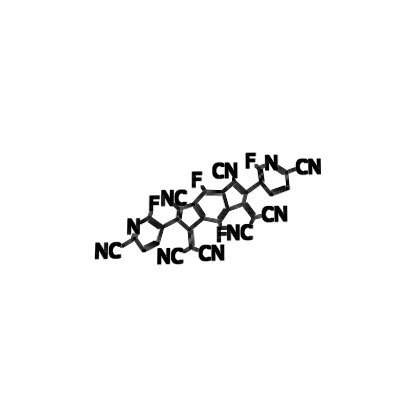 N#CC(C#N)=C1C(c2ccc(C#N)nc2F)=C(C#N)c2c(F)c3c(c(F)c21)C(=C(C#N)C#N)C(c1ccc(C#N)nc1F)=C3C#N